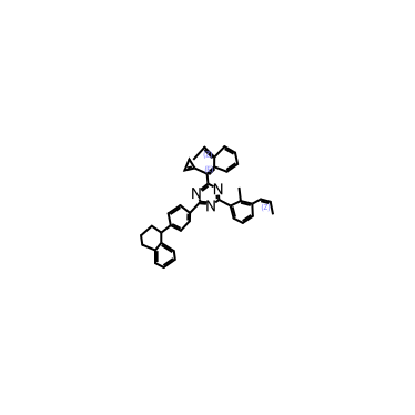 C/C=C\c1cccc(-c2nc(/C(C3=CC3)=c3\cccc\c3=C\C)nc(-c3ccc(C4CCCc5ccccc54)cc3)n2)c1C